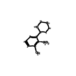 O=[N+]([O-])c1c(O)cccc1C1CCOCO1